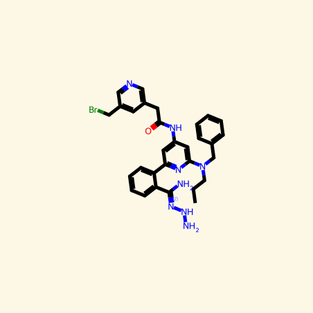 CCCN(Cc1ccccc1)c1cc(NC(=O)Cc2cncc(CBr)c2)cc(-c2ccccc2/C(N)=N/NN)n1